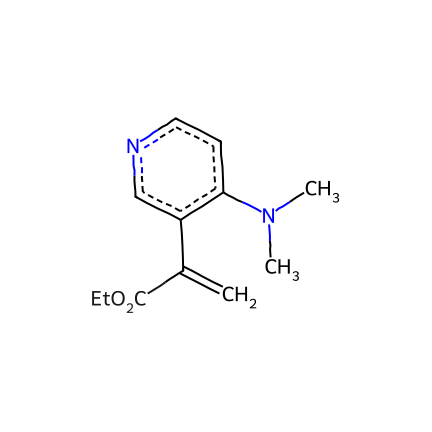 C=C(C(=O)OCC)c1cnccc1N(C)C